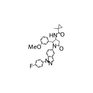 COc1cccc(C2[C@@H](NC(=O)C3(C)CC3)CC(=O)N2c2ccc3c(cnn3-c3ccc(F)cc3)c2)c1